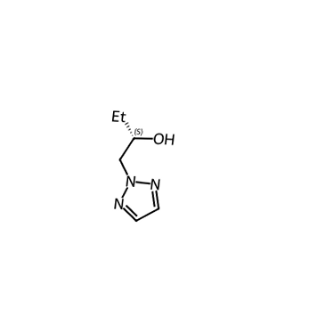 CC[C@H](O)Cn1nccn1